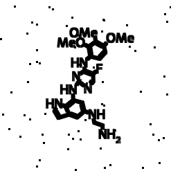 COc1ccc(Nc2nc(Nc3cc(NCCN)cc4cc[nH]c34)ncc2F)c(OC)c1OC